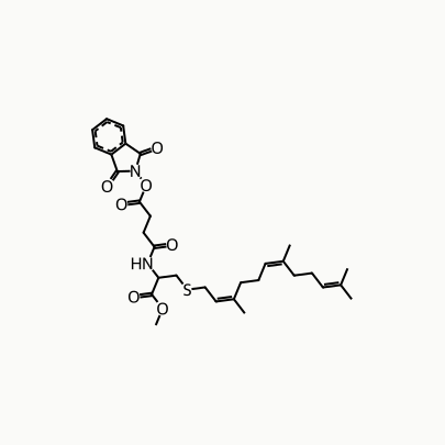 COC(=O)C(CSCC=C(C)CCC=C(C)CCC=C(C)C)NC(=O)CCC(=O)ON1C(=O)c2ccccc2C1=O